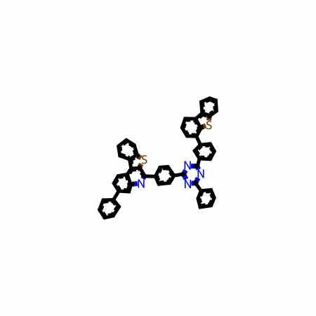 c1ccc(-c2ccc3c(c2)nc(-c2ccc(-c4nc(-c5ccccc5)nc(-c5cccc(-c6cccc7c6sc6ccccc67)c5)n4)cc2)c2sc4ccccc4c23)cc1